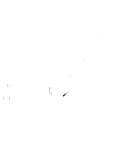 O=C(NOC1CNNC1)[C@@H]1CCC2CN1C(=O)N2OS(=O)(=O)O